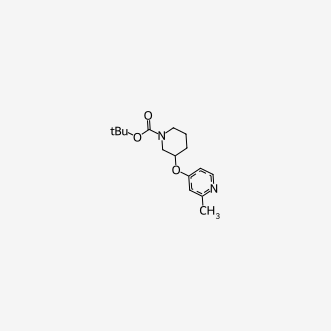 Cc1cc(OC2CCCN(C(=O)OC(C)(C)C)C2)ccn1